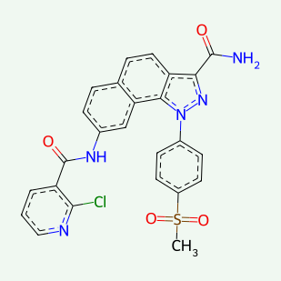 CS(=O)(=O)c1ccc(-n2nc(C(N)=O)c3ccc4ccc(NC(=O)c5cccnc5Cl)cc4c32)cc1